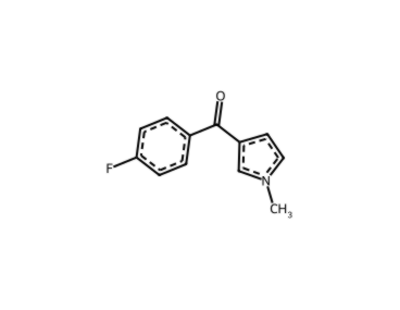 Cn1ccc(C(=O)c2ccc(F)cc2)c1